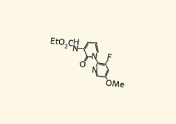 CCOC(=O)Nc1cccn(-c2ncc(OC)cc2F)c1=O